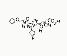 CC(C)c1c(C(=O)NCCOc2ccccc2)nc(-c2ccc(F)cc2)n1CC[C@@H](O)C[C@@H](O)CC(=O)O